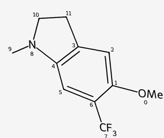 COc1cc2c(cc1C(F)(F)F)N(C)CC2